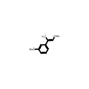 CO/C=C(\C)c1cccc(OC)c1